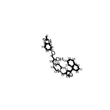 Cc1nc2cc(OC[C@@H](O)CN3CCN(Cc4cc(-c5cccc6ccccc56)on4)[C@@H](C)C3)ccc2s1